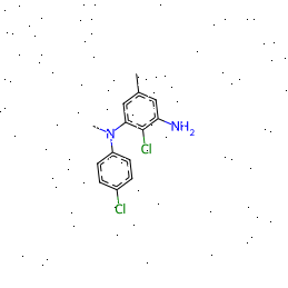 Cc1cc(N)c(Cl)c(N(C)c2ccc(Cl)cc2)c1